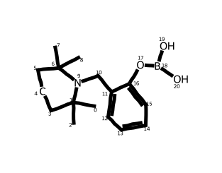 CC1(C)CCCC(C)(C)N1Cc1ccccc1OB(O)O